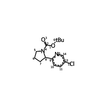 CC(C)(C)OC(=O)N1CCCC1c1ccc(Cl)cn1